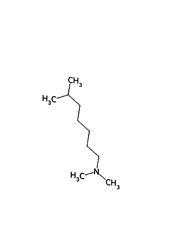 CC(C)CCCCCN(C)C